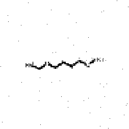 CCCCOCCCCOCS